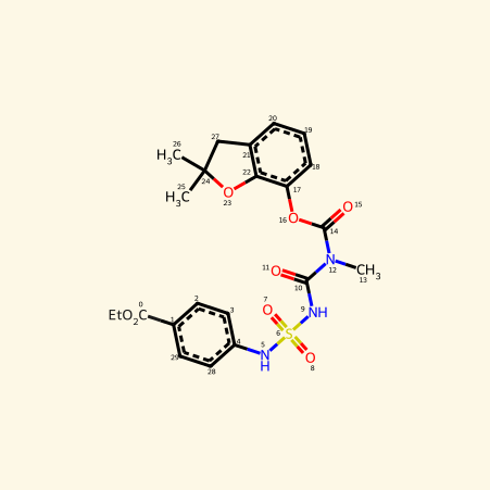 CCOC(=O)c1ccc(NS(=O)(=O)NC(=O)N(C)C(=O)Oc2cccc3c2OC(C)(C)C3)cc1